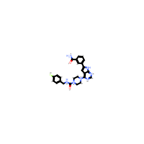 NC(=O)c1cccc(-c2cc3c(N4CCN(C(=O)NCc5ccc(F)cc5)CC4)ncnc3[nH]2)c1